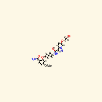 COc1ccc(C(N)=O)c(OC2CC3(CC(NC(=O)c4cnn5cc(OCC(C)(C)O)ccc45)C3)C2)c1